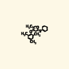 Cc1cc(C)c(O[C@H]2C[C@@H](Sc3ccccc3)OC[C@@H]2C)c(C)c1